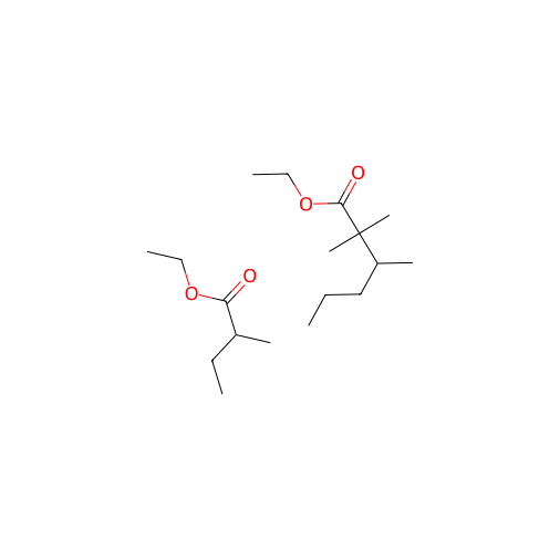 CCCC(C)C(C)(C)C(=O)OCC.CCOC(=O)C(C)CC